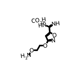 N=C(NC(=O)O)c1cc(OCCON)no1